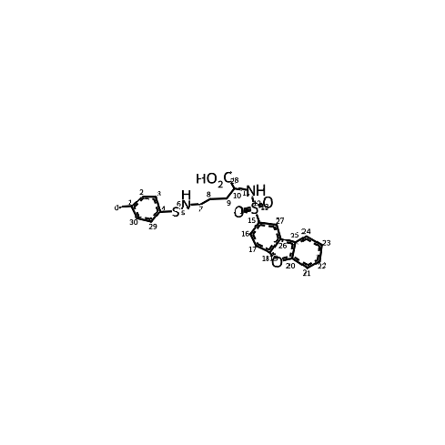 Cc1ccc(SNCCCC(NS(=O)(=O)c2ccc3oc4ccccc4c3c2)C(=O)O)cc1